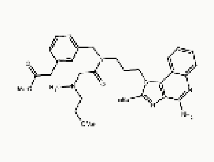 CCCCc1nc2c(N)nc3ccccc3c2n1CCCN(Cc1cccc(CC(=O)OC)c1)C(=O)CN(C)CCOC